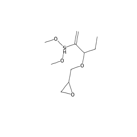 C=C(C(CC)OCC1CO1)[SiH](OC)OC